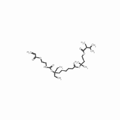 C=CC(=O)OCCNC(=O)OC(CC)(CC)CCCCCC(=O)OC(C)(C)CCOC(=O)C(C)C(C)C